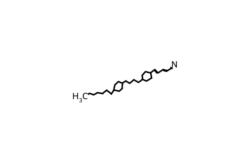 CCCCCCCC1CCC(CCCCC2CCC(C=CC=CC#N)CC2)CC1